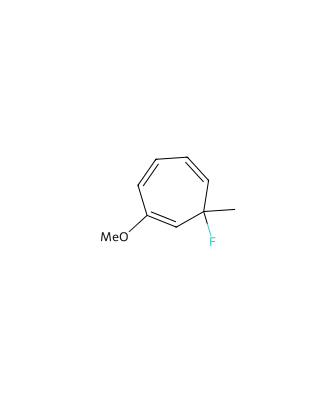 COC1=CC(C)(F)C=CC=C1